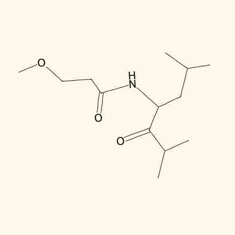 COCCC(=O)NC(CC(C)C)C(=O)C(C)C